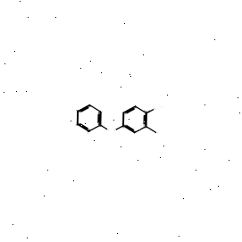 Cc1cc(Oc2cc[c]cc2)ccc1O